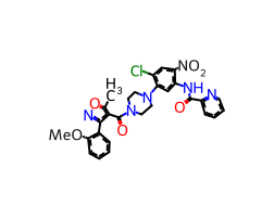 COc1ccccc1-c1noc(C)c1C(=O)N1CCN(c2cc(NC(=O)c3ccccn3)c([N+](=O)[O-])cc2Cl)CC1